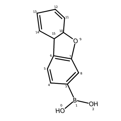 OB(O)c1ccc2c(c1)OC1C=CC=CC21